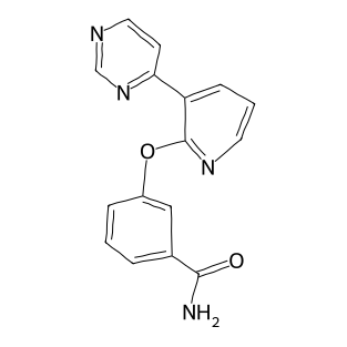 NC(=O)c1cccc(Oc2ncccc2-c2ccncn2)c1